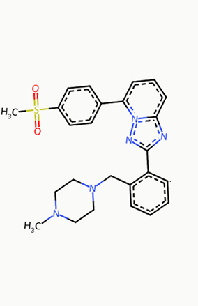 CN1CCN(Cc2ccc[c]c2-c2nc3cccc(-c4ccc(S(C)(=O)=O)cc4)n3n2)CC1